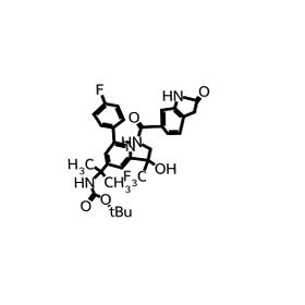 CC(C)(C)OC(=O)NC(C)(C)c1cc(-c2ccc(F)cc2)nc(C(O)(CNC(=O)c2ccc3c(c2)NC(=O)C3)C(F)(F)F)c1